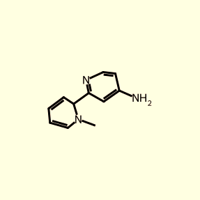 CN1C=CC=CC1c1cc(N)ccn1